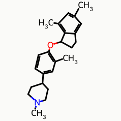 Cc1cc(C)c2c(c1)CCC2Oc1ccc(C2CCN(C)CC2)cc1C